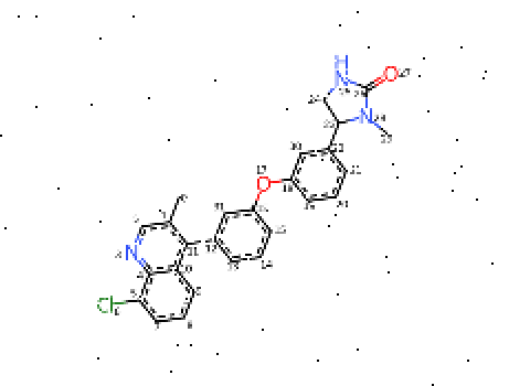 Cc1cnc2c(Cl)cccc2c1-c1cccc(Oc2cccc(C3CNC(=O)N3C)c2)c1